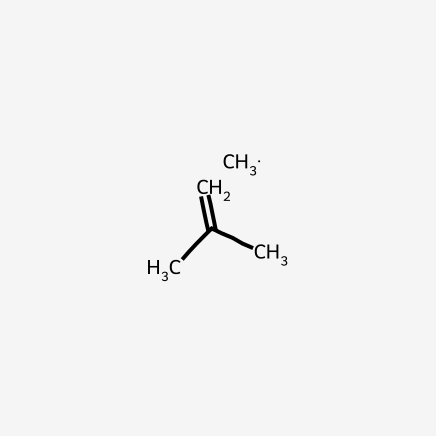 C=C(C)C.[CH3]